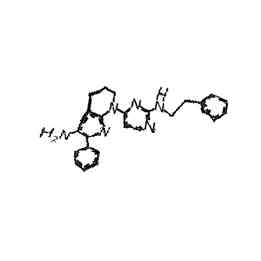 Nc1cc2c(nc1-c1ccccc1)N(c1ccnc(NCCc3ccccc3)n1)CCC2